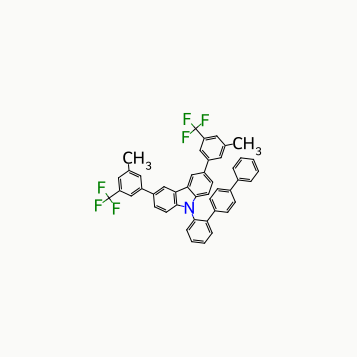 Cc1cc(-c2ccc3c(c2)c2cc(-c4cc(C)cc(C(F)(F)F)c4)ccc2n3-c2ccccc2-c2ccc(-c3ccccc3)cc2)cc(C(F)(F)F)c1